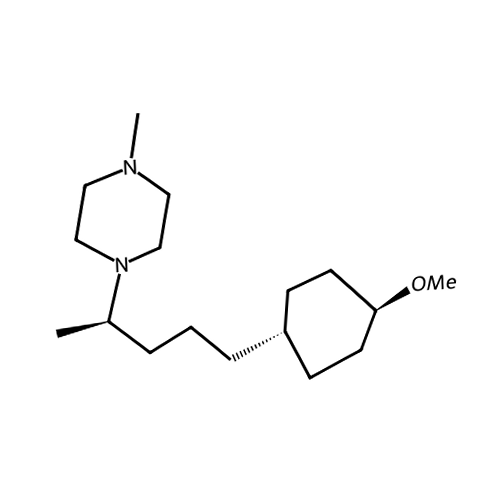 CO[C@H]1CC[C@H](CCC[C@@H](C)N2CCN(C)CC2)CC1